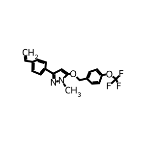 C=Cc1ccc(-c2cc(OCc3ccc(OC(F)(F)F)cc3)n(C)n2)cc1